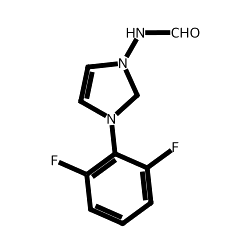 O=CNN1C=CN(c2c(F)cccc2F)C1